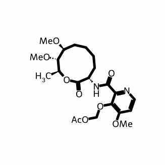 COc1ccnc(C(=O)N[C@H]2CCCC[C@H](OC)[C@@H](OC)[C@H](C)OC2=O)c1OCOC(C)=O